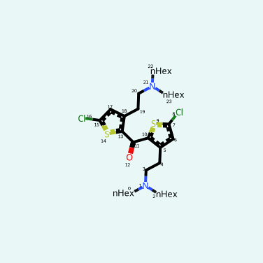 CCCCCCN(CCCCCC)CCc1cc(Cl)sc1C(=O)c1sc(Cl)cc1CCN(CCCCCC)CCCCCC